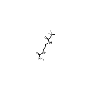 CC(C)(C)OC(=O)NCCCNC(N)=O